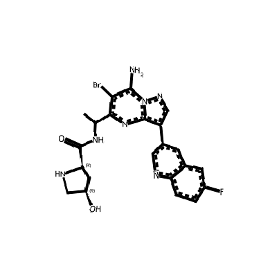 CC(NC(=O)[C@H]1C[C@@H](O)CN1)c1nc2c(-c3cnc4ccc(F)cc4c3)cnn2c(N)c1Br